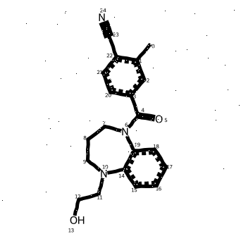 Cc1cc(C(=O)N2CCCN(CCO)c3ccccc32)ccc1C#N